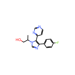 CC(CO)n1cnc(-c2ccc(F)cc2)c1-c1ccncn1